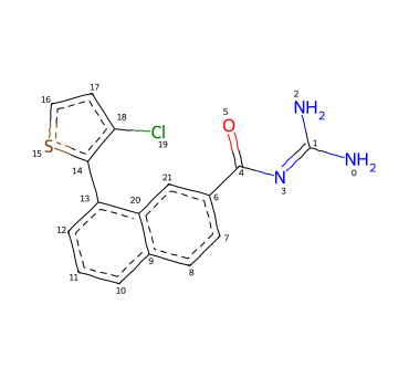 NC(N)=NC(=O)c1ccc2cccc(-c3sccc3Cl)c2c1